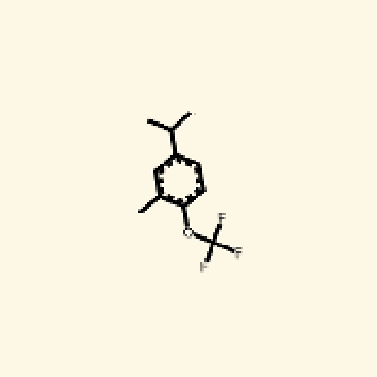 [CH2]C(C)c1ccc(OC(F)(F)F)c(C)c1